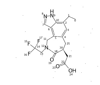 CCc1cc2c(c3cn[nH]c13)CN(CC(F)(F)F)C(=O)[C@H](CC(=O)O)C2